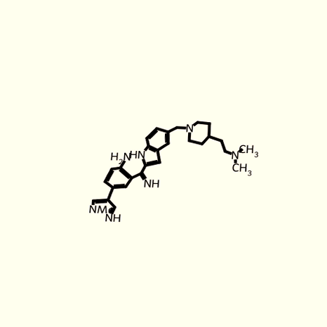 CN/C=C(\C=N)c1ccc(N)c(C(=N)c2cc3cc(CN4CCC(CCN(C)C)CC4)ccc3[nH]2)c1